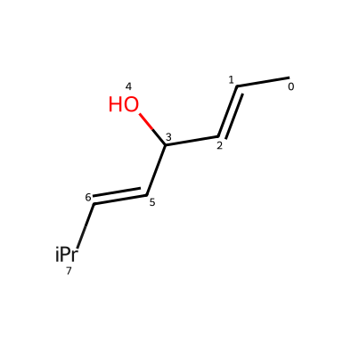 CC=CC(O)C=CC(C)C